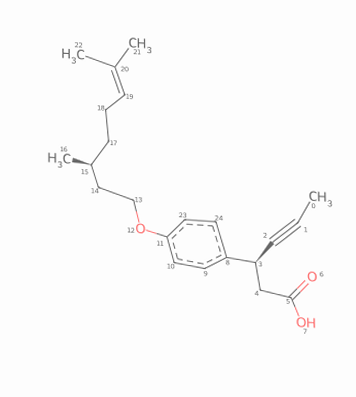 CC#C[C@@H](CC(=O)O)c1ccc(OCC[C@@H](C)CCC=C(C)C)cc1